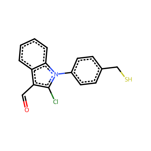 O=Cc1c(Cl)n(-c2ccc(CS)cc2)c2ccccc12